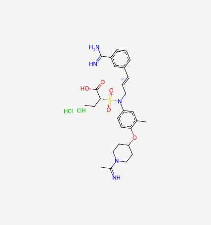 CCC(C(=O)O)S(=O)(=O)N(C/C=C/c1cccc(C(=N)N)c1)c1ccc(OC2CCN(C(C)=N)CC2)c(C)c1.Cl.Cl